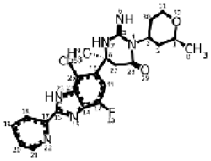 C[C@H]1C[C@@H](N2C(=N)N[C@](C)(c3cc(F)c4nc(-c5ccccn5)[nH]c4c3Cl)CC2=O)CCO1